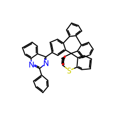 c1ccc(-c2nc(-c3ccc4c(c3)C3(c5ccccc5Sc5ccccc53)c3ccccc3-c3ccccc3-4)c3ccccc3n2)cc1